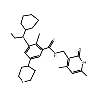 CCN(c1cc(C2CCOCC2)cc(C(=O)NCc2c(C)cc(C)[nH]c2=O)c1C)C1CCCCC1